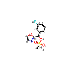 CS(=O)(=O)OC(c1cccc(F)c1)c1ncco1